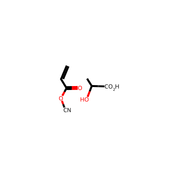 C=CC(=O)OC#N.CC(O)C(=O)O